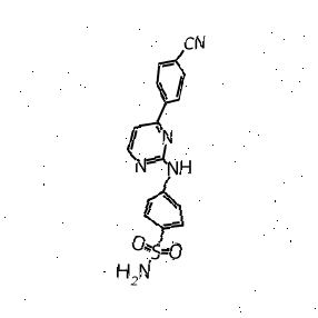 N#Cc1ccc(-c2ccnc(Nc3ccc(S(N)(=O)=O)cc3)n2)cc1